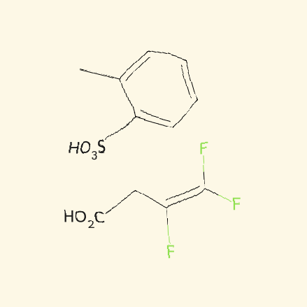 Cc1ccccc1S(=O)(=O)O.O=C(O)CC(F)=C(F)F